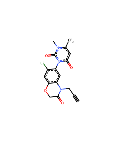 C#CCN1C(=O)COc2cc(Cl)c(-n3c(=O)cc(C(F)(F)F)n(C)c3=O)cc21